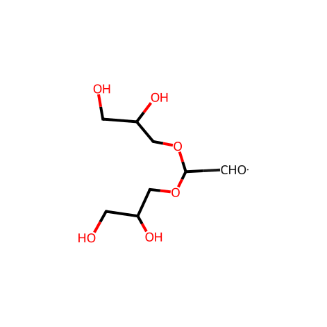 O=[C]C(OCC(O)CO)OCC(O)CO